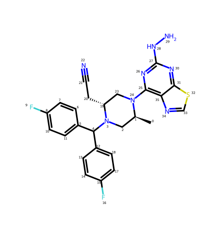 C[C@H]1CN(C(c2ccc(F)cc2)c2ccc(F)cc2)[C@H](CC#N)CN1c1nc(NN)nc2scnc12